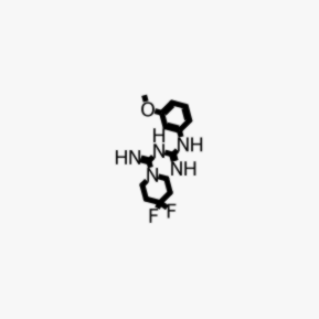 COc1cccc(NC(=N)NC(=N)N2CCC(F)(F)CC2)c1